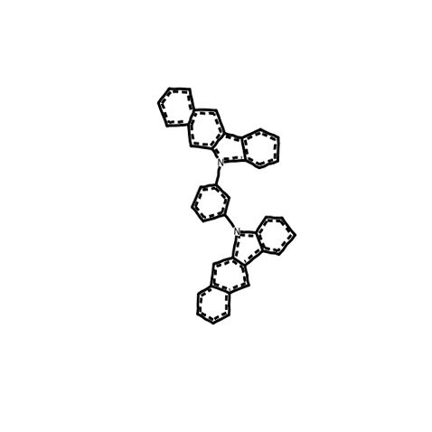 c1cc(-n2c3ccccc3c3cc4ccccc4cc32)cc(-n2c3ccccc3c3cc4ccccc4cc32)c1